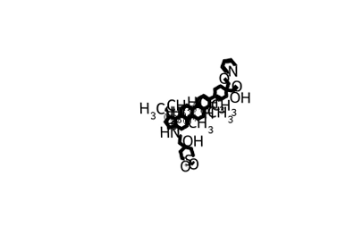 C=C(C)[C@@H]1CC[C@]2(NCCC3(O)CCS(=O)(=O)CC3)CC[C@]3(C)[C@H](CC[C@@H]4[C@@]5(C)CC=C(C6=CCC(COc7ccccn7)(C(=O)O)CC6)C(C)(C)[C@@H]5CC[C@]43C)[C@@H]12